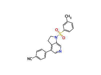 Cc1cccc(S(=O)(=O)N2CCc3c(-c4ccc(C#N)cc4)cncc32)c1